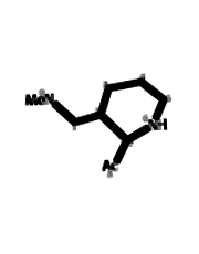 CNCC1CCCNC1C(C)=O